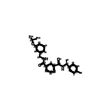 Cc1ccc([C@H](C)NC(=O)c2cc(C(=O)NCc3cccc(OC(F)F)c3)ncn2)cc1